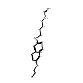 CCCOc1ccc2cc(OCCCCOC=O)ccc2c1